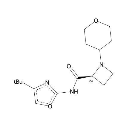 CC(C)(C)c1coc(NC(=O)[C@@H]2CCN2C2CCOCC2)n1